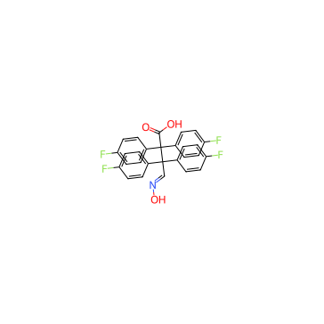 O=C(O)C(c1ccc(F)cc1)(c1ccc(F)cc1)C(C=NO)(c1ccc(F)cc1)c1ccc(F)cc1